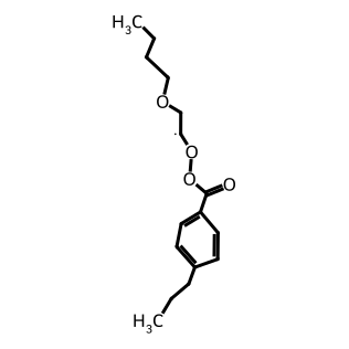 CCCCOC[CH]OOC(=O)c1ccc(CCC)cc1